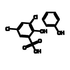 O=S(=O)(O)c1cc(Cl)cc(Cl)c1O.Oc1ccccc1